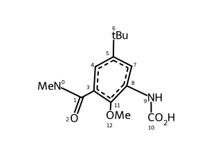 CNC(=O)c1cc(C(C)(C)C)cc(NC(=O)O)c1OC